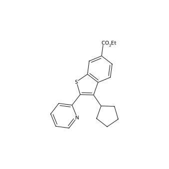 CCOC(=O)c1ccc2c(C3CCCC3)c(-c3ccccn3)sc2c1